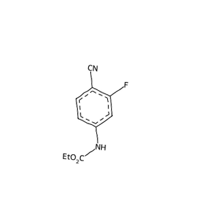 CCOC(=O)Nc1ccc(C#N)c(F)c1